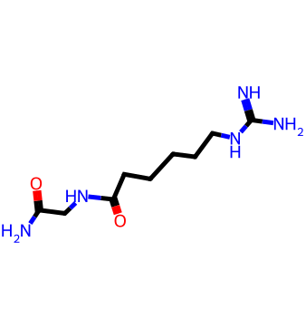 N=C(N)NCCCCCC(=O)NCC(N)=O